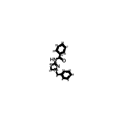 O=C(NC1=NN(Cc2ccccc2)CS1)c1cc[c]cc1